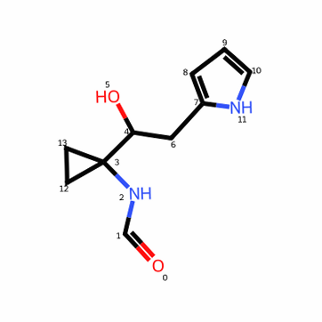 O=CNC1(C(O)Cc2ccc[nH]2)CC1